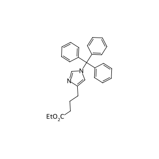 CCOC(=O)CCCc1cn(C(c2ccccc2)(c2ccccc2)c2ccccc2)cn1